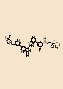 CN(C)CCNc1cc(F)cc(-c2cncc3[nH]c(-c4n[nH]c5ncc(-c6cncc(CN7CCC(F)(F)C7)c6)cc45)nc23)c1